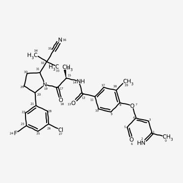 CC(=N)/C=C(\C=O)Oc1ccc(C(=O)N[C@H](C)C(=O)N2C(c3cc(F)cc(Cl)c3)CCC2C(C)(C)C#N)cc1C